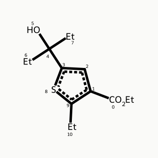 CCOC(=O)c1cc(C(O)(CC)CC)sc1CC